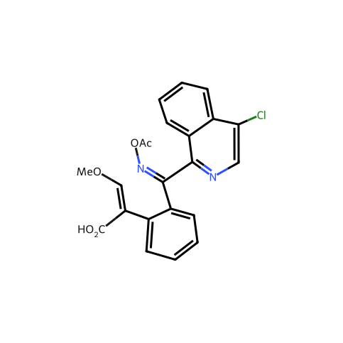 COC=C(C(=O)O)c1ccccc1C(=NOC(C)=O)c1ncc(Cl)c2ccccc12